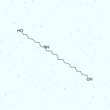 OCCCCCCCCCCCCCCNCCCCCCCO